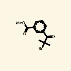 COC(=O)c1cccc(C(=O)C(C)(C)Br)c1